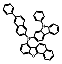 c1ccc(-c2ccc3cc(N(c4ccc5c6ccccc6n(-c6ccccc6)c5c4)c4cccc5oc6c7ccccc7ccc6c45)ccc3c2)cc1